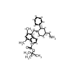 Cc1cc(C)c2c(ccn2C(=O)OC(C)(C)C)c1CN1CCC(CN)CC1c1ccccc1